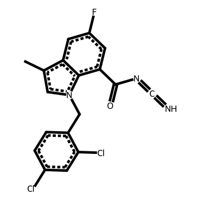 Cc1cn(Cc2ccc(Cl)cc2Cl)c2c(C(=O)N=C=N)cc(F)cc12